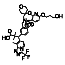 Cc1ccc(C(c2ccn3c(C(F)(F)F)nnc3c2C)C(C)(C)C(=O)O)cc1CN1CC2(CCOCC2)Oc2nc(OCCCO)ccc2S1(=O)=O